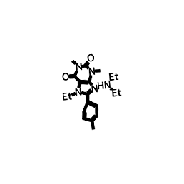 CCNCC.CCn1c(-c2ccc(C)cc2)nc2c1c(=O)n(C)c(=O)n2C